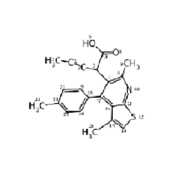 CCCC(C(=O)O)c1c(C)nc2scc(C)c2c1-c1ccc(C)cc1